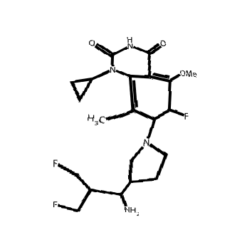 COC1=c2c(=O)[nH]c(=O)n(C3CC3)c2=C(C)C(N2CCC(C(N)C(CF)CF)C2)C1F